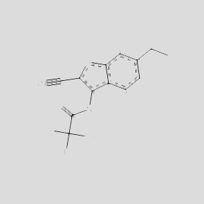 CCc1ccc2c(NC(=O)C(F)(F)F)c(C#N)oc2c1